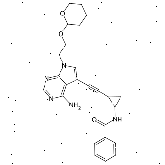 Nc1ncnc2c1c(C#CC1CC1NC(=O)c1ccccc1)cn2CCOC1CCCCO1